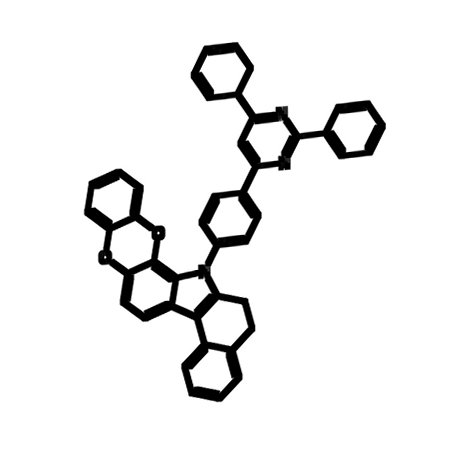 C1=CCC(c2cc(-c3ccc(-n4c5c(c6ccc7c(c64)Oc4ccccc4O7)-c4ccccc4CC5)cc3)nc(-c3ccccc3)n2)C=C1